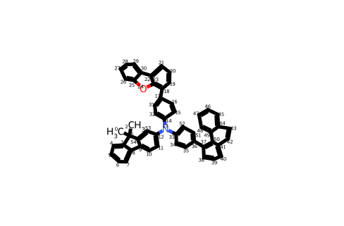 CC1(C)c2ccccc2-c2ccc(N(c3ccc(-c4cccc5c4oc4ccccc45)cc3)c3ccc(-c4cccc5ccc6ccccc6c45)cc3)cc21